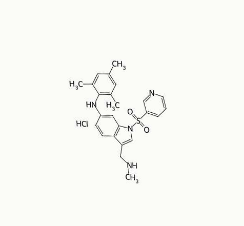 CNCc1cn(S(=O)(=O)c2cccnc2)c2cc(Nc3c(C)cc(C)cc3C)ccc12.Cl